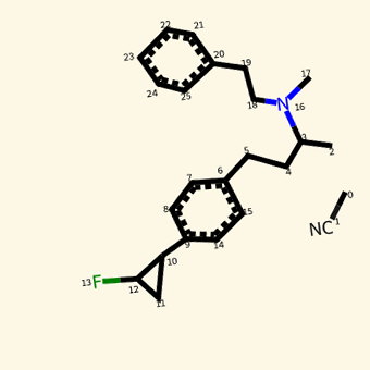 CC#N.CC(CCc1ccc(C2CC2F)cc1)N(C)CCc1ccccc1